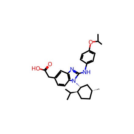 CC(C)Oc1ccc(Nc2nc3cc(CC(=O)O)ccc3n2[C@@H]2C[C@H](C)CC[C@H]2C(C)C)cc1